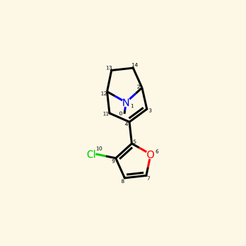 CN1C2C=C(c3occc3Cl)CC1CC2